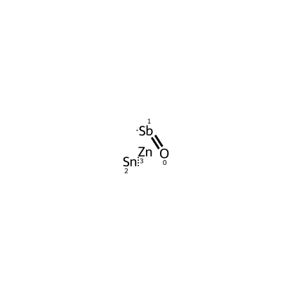 [O]=[Sb].[Sn].[Zn]